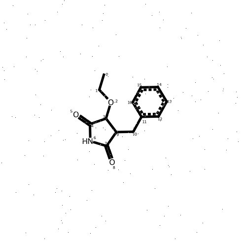 CCOC1C(=O)NC(=O)C1Cc1ccccc1